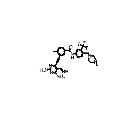 Cc1ccc(C(=O)Nc2ccc(CN3CCN(C)CC3)c(C(F)(F)F)c2)cc1C#Cc1nc(N)nc(N)c1C=N